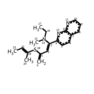 C=C(/C=C(/c1ccc2cccnc2n1)N(C)CC)S/C(C)=C/C